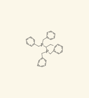 CCC(P(Cc1ccccc1)Cc1ccccc1)P(Cc1ccccc1)Cc1ccccc1